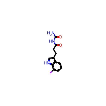 NC(=O)NC(=O)CCc1c[nH]c2c(I)cccc12